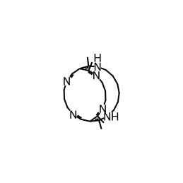 CC1=NCCCN=C(C)C2=C(C)NCCCCCCNC(C)=C1C=NCCCN=C2